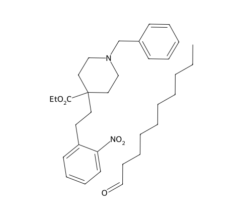 CCCCCCCCCC=O.CCOC(=O)C1(CCc2ccccc2[N+](=O)[O-])CCN(Cc2ccccc2)CC1